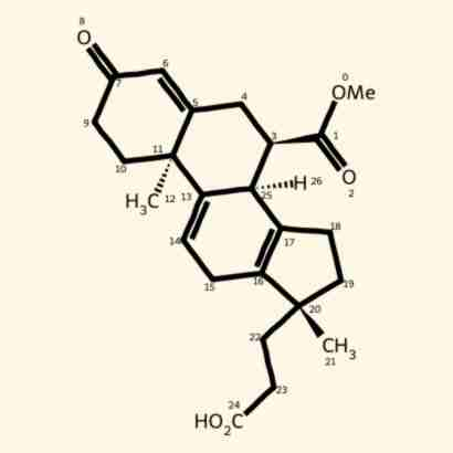 COC(=O)[C@@H]1CC2=CC(=O)CC[C@]2(C)C2=CCC3=C(CC[C@]3(C)CCC(=O)O)[C@@H]21